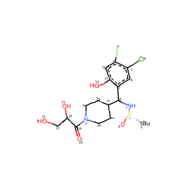 CC(C)(C)[S@+]([O-])NC(c1cc(Cl)c(F)cc1O)C1CCN(C(=O)C(O)CO)CC1